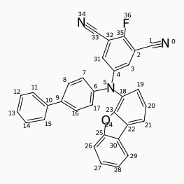 N#Cc1cc(N(c2ccc(-c3ccccc3)cc2)c2cccc3c2oc2ccccc23)cc(C#N)c1F